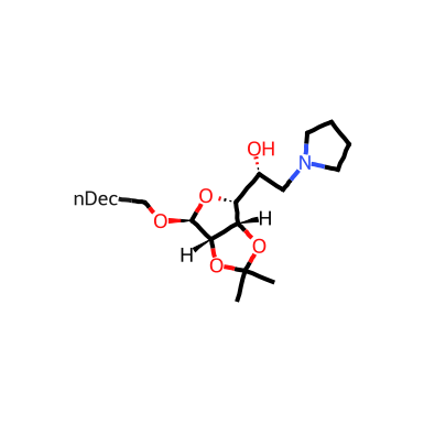 CCCCCCCCCCCO[C@H]1O[C@H]([C@H](O)CN2CCCC2)[C@@H]2OC(C)(C)O[C@H]12